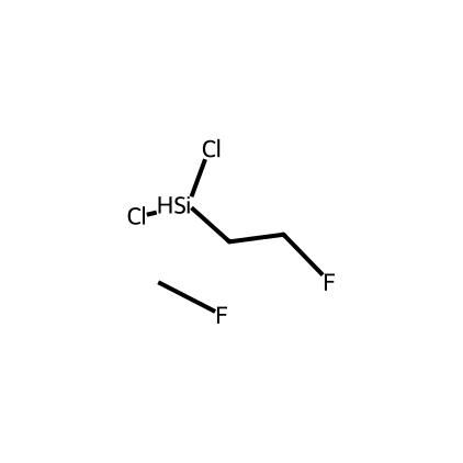 CF.FCC[SiH](Cl)Cl